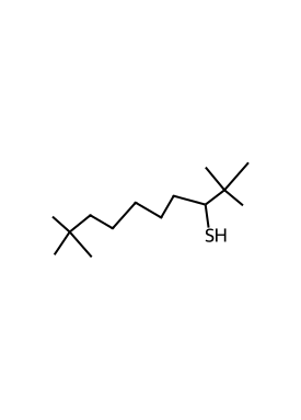 CC(C)(C)CCCCCC(S)C(C)(C)C